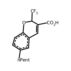 CCCCCc1ccc2c(c1)C=C(C(=O)O)C(C(F)(F)F)O2